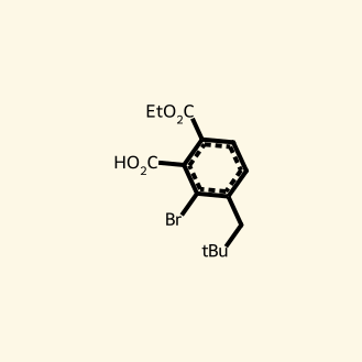 CCOC(=O)c1ccc(CC(C)(C)C)c(Br)c1C(=O)O